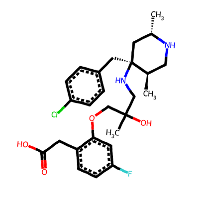 C[C@@H]1CN[C@@H](C)C[C@]1(Cc1ccc(Cl)cc1)NCC(C)(O)COc1cc(F)ccc1CC(=O)O